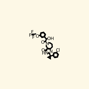 O=C(C(O)c1cccc(OCC(F)(F)F)c1)N1CCCc2nc(C3(c4cccc(Cl)c4)CC3)[nH]c(=O)c2C1